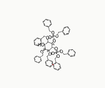 O=P(OCc1ccccc1)(OCc1ccccc1)OC1[C@H](OP(=O)(OCc2ccccc2)OCc2ccccc2)C(OCc2ccccc2)C(O)[C@H](OCc2ccccc2)[C@H]1OCc1ccccc1